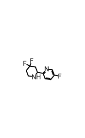 Fc1ccc(C2CC(F)(F)CCN2)nc1